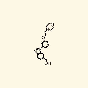 OCc1ccc2ncn(-c3cccc(OCCN4CCOCC4)c3)c2c1